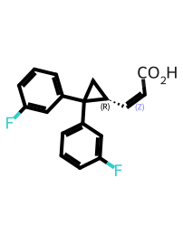 O=C(O)/C=C\[C@H]1CC1(c1cccc(F)c1)c1cccc(F)c1